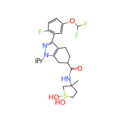 CC(C)n1nc(-c2cc(OC(F)F)ccc2F)c2c1CC(C(=O)NC1(C)CCS(O)(O)C1)CC2